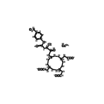 CCN(CC(=O)Oc1ccc([N+](=O)[O-])cc1)C(=O)CN1CCN(CC(=O)[O-])CCN(CC(=O)[O-])CCN(CC(=O)[O-])CC1.[Gd+3]